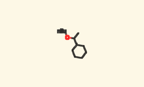 CCCCOC(C)[C]1CCCCC1